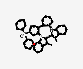 Cc1c2ccccc2n2c3ccccc3c3ccc(P(=O)(c4ccccc4)c4ccccc4)cc3n3c4ccccc4c(C)c3c12